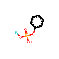 O=P(O)(OF)Oc1ccccc1